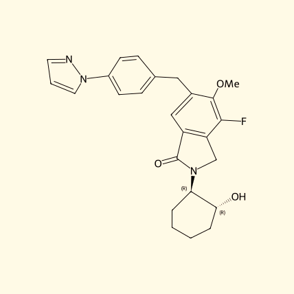 COc1c(Cc2ccc(-n3cccn3)cc2)cc2c(c1F)CN([C@@H]1CCCC[C@H]1O)C2=O